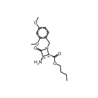 CCCCOC(=O)[C@H]1[C@@H](N)C(=O)N1Cc1ccc(OC)cc1OC